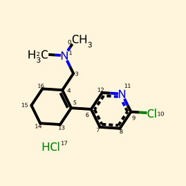 CN(C)CC1=C(c2ccc(Cl)nc2)CCCC1.Cl